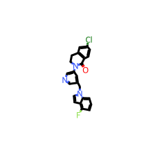 O=C1c2ccc(Cl)cc2CCN1c1cncc(Cn2ccc3c(F)cccc32)c1